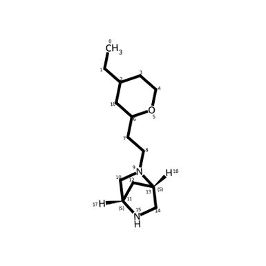 CCC1CCOC(CCN2C[C@@H]3C[C@H]2CN3)C1